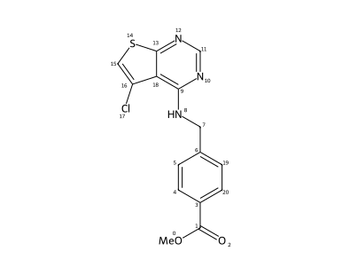 COC(=O)c1ccc(CNc2ncnc3scc(Cl)c23)cc1